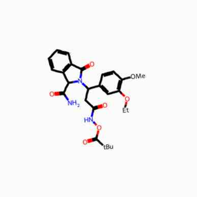 CCOc1cc(C(CC(=O)NOC(=O)C(C)(C)C)N2C(=O)c3[c]cccc3C2C(N)=O)ccc1OC